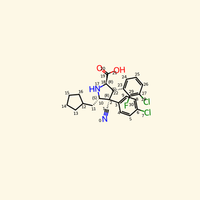 N#C[C@]1(c2ccc(Cl)cc2)[C@H](CC2CCCC2)N[C@@H](C(=O)O)[C@@H]1c1cccc(Cl)c1F